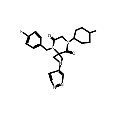 CC1CCC(N2CC(=O)N(Cc3ccc(F)cc3)C3(CN(c4ccnnc4)C3)C2=O)CC1